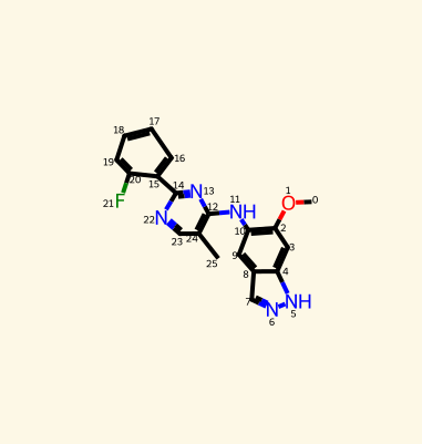 COc1cc2[nH]ncc2cc1Nc1nc(-c2ccccc2F)ncc1C